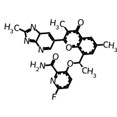 CC1=NC2C=C(c3oc4c([C@@H](C)Oc5ccc(F)nc5C(N)=O)cc(C)cc4c(=O)c3C)C=NC2=N1